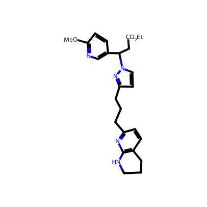 CCOC(=O)CC(c1ccc(OC)nc1)n1ccc(CCCc2ccc3c(n2)NCCC3)n1